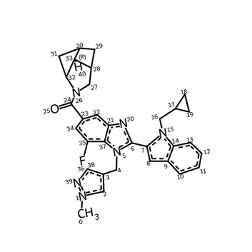 Cn1cc(Cn2c(-c3cc4ccccc4n3CC3CC3)nc3cc(C(=O)N4CC5CC6CC4[C@H]65)cc(F)c32)cn1